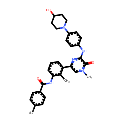 Cc1c(NC(=O)c2ccc(C(C)(C)C)cc2)cccc1-c1cn(C)c(=O)c(Nc2ccc(N3CCC(O)CC3)cc2)n1